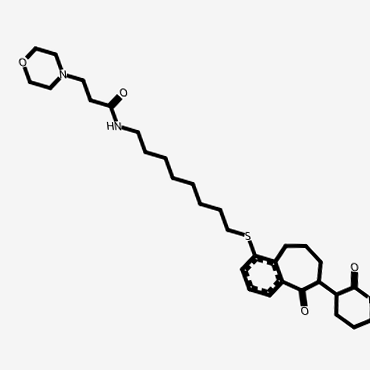 O=C(CCN1CCOCC1)NCCCCCCCCSc1cccc2c1CCCC(C1CCC(=O)NC1=O)C2=O